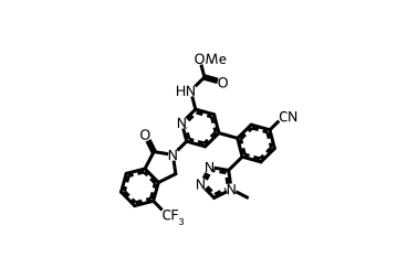 COC(=O)Nc1cc(-c2cc(C#N)ccc2-c2nncn2C)cc(N2Cc3c(cccc3C(F)(F)F)C2=O)n1